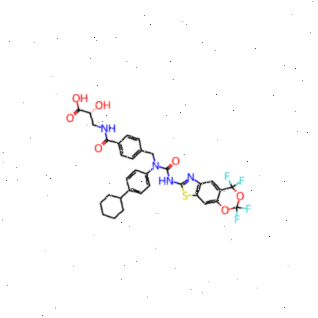 O=C(NC[C@@H](O)C(=O)O)c1ccc(CN(C(=O)Nc2nc3cc4c(cc3s2)OC(F)(F)OC4(F)F)c2ccc(C3CCCCC3)cc2)cc1